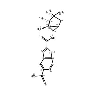 C[C@@H]1[C@@H](NC(=O)c2cc3cc(C(=O)O)ncc3[nH]2)C2C[C@@H]1C(C)(C)C2